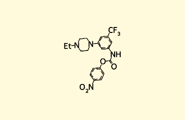 CCN1CCN(c2cc(NC(=O)Oc3ccc([N+](=O)[O-])cc3)cc(C(F)(F)F)c2)CC1